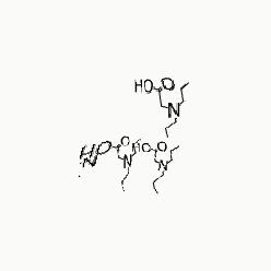 CCCN(CCC)CC(=O)O.CCCN(CCC)CC(=O)O.CCCN(CCC)CC(=O)O.[N]